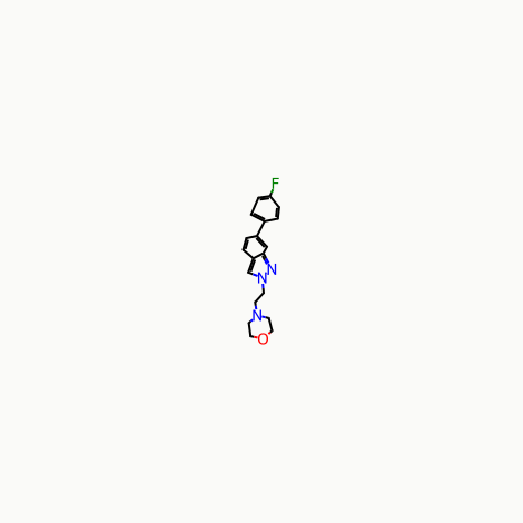 Fc1ccc(-c2ccc3cn(CCN4CCOCC4)nc3c2)cc1